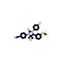 N#Cc1ccc(N2C(=O)N(c3ccc(Cl)cc3)C(c3cccc(OC(F)(F)F)c3)C23COC3)cc1